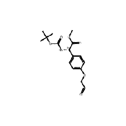 COC(=O)[C@@H](NC(=O)OC(C)(C)C)c1ccc(OCC=O)cc1